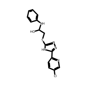 OC(CSc1nnc(-c2ccc(Cl)cn2)[nH]1)Nc1ccccc1